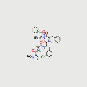 CC[C@H](C)[C@H](NC(=O)[C@H](Cc1ccccc1)N(C)C(=O)[C@H](Cc1cccc(Cl)c1)N(C)C(=O)[C@H](C)N(C)C(=O)[C@@H]1CCCN1C(C)=O)C(=O)N1CCCCC1